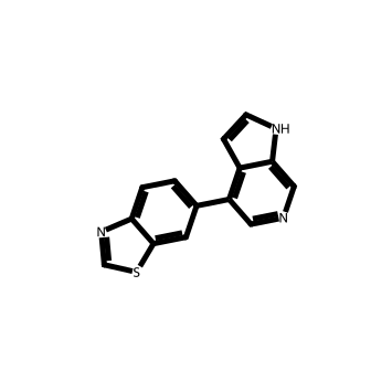 c1cc2c(-c3ccc4ncsc4c3)cncc2[nH]1